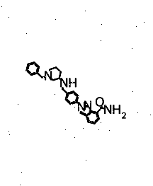 NC(=O)c1cccc2cn(-c3ccc(CNC4CCCN(Cc5ccccc5)C4)cc3)nc12